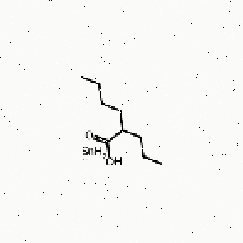 CCCCC(CCC)C(=O)O.[SnH2]